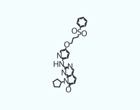 O=c1ccc2cnc(Nc3ccc(OCCCS(=O)(=O)c4ccccc4)cn3)nc2n1C1CCCC1